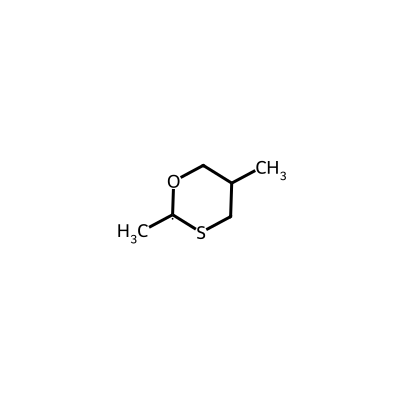 C[C]1OCC(C)CS1